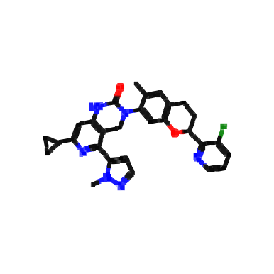 Cc1cc2c(cc1N1Cc3c(cc(C4CC4)nc3-c3ccnn3C)NC1=O)OC(c1ncccc1F)CC2